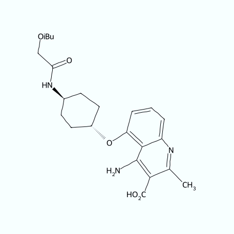 Cc1nc2cccc(O[C@H]3CC[C@H](NC(=O)COCC(C)C)CC3)c2c(N)c1C(=O)O